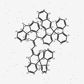 C=C1/C(=C\C=C(/C)N(c2cccc3c2-c2cc4ccccc4cc2C3(c2ccccc2)c2ccccc2)c2cccc3oc4ccccc4c23)Oc2ccccc2C12c1ccccc1-c1ccccc12